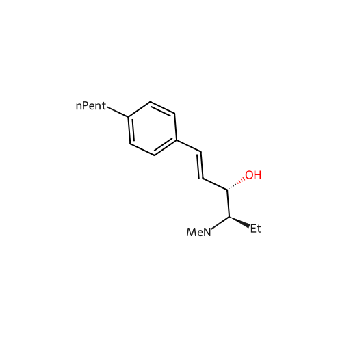 CCCCCc1ccc(/C=C/[C@H](O)[C@@H](CC)NC)cc1